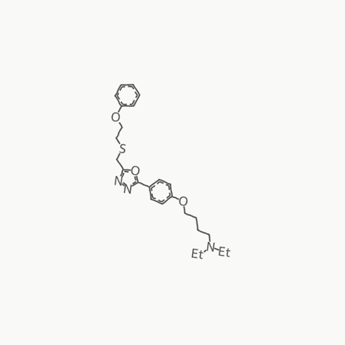 CCN(CC)CCCCOc1ccc(-c2nnc(CSCCOc3ccccc3)o2)cc1